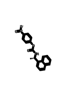 C[C@H](NC(=O)Oc1ccc([N+](=O)[O-])cc1)c1cccc2ccccc12